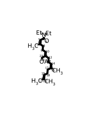 CCN(CC)C(=O)C=C(C)CCC=C(CCC=C(C)CCC=C(C)C)COC(C)=O